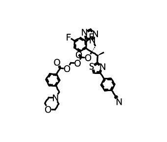 C[C@@H](c1nc(-c2ccc(C#N)cc2)cs1)[C@@](Cn1cncn1)(OC(=O)OCOC(=O)c1cccc(CN2CCOCC2)c1)c1ccc(F)cc1F